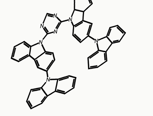 C1=CC2c3cc(-n4c5ccccc5c5ccccc54)ccc3N(c3ncnc(-n4c5ccccc5c5cc(-n6c7ccccc7c7ccccc76)ccc54)n3)C2C=C1